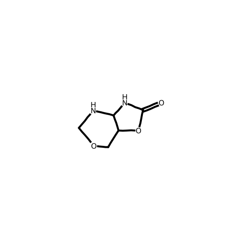 O=C1NC2NCOCC2O1